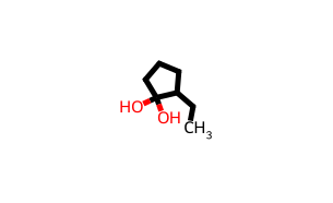 CCC1CCCC1(O)O